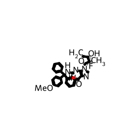 C=C1O[C@H](n2cnc3c(=O)[nH]c(NC(c4ccccc4)(c4ccccc4)c4ccc(OC)cc4)nc32)[C@](C)(F)[C@@H]1O